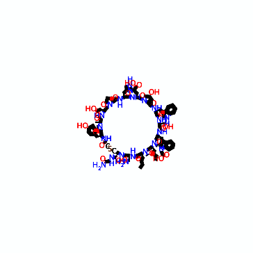 CCCC[C@H]1C(=O)N(C)[C@@H](CCCC)C(=O)N[C@@H](CN)C(=O)N[C@H](C(=O)NCC(N)=O)CSCC(=O)N[C@@H](Cc2ccc(O)cc2)C(=O)N(C)[C@@H](C)C(=O)N[C@@H](CC(=O)O)C(=O)N2CCC[C@H]2C(=O)N[C@@H](Cc2c[nH]cn2)C(=O)N[C@@H](CCC(=O)O)C(=O)N2C[C@H](O)C[C@H]2C(=O)N[C@@H](Cc2c[nH]c3ccccc23)C(=O)N[C@@H](CO)C(=O)N[C@@H](Cc2cn(CC(=O)O)c3ccccc23)C(=O)N1C